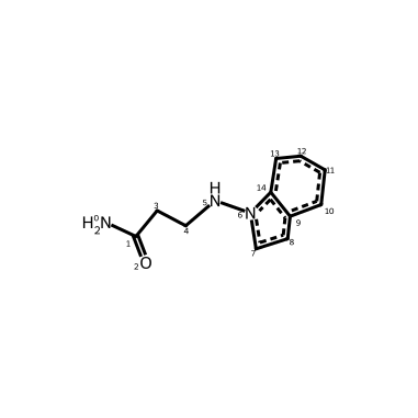 NC(=O)CCNn1ccc2ccccc21